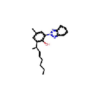 CCCCC=CC(C)c1cc(C)cc(-n2nc3ccccc3n2)c1O